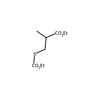 CCOC(=O)SCC(C)C(=O)OCC